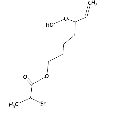 C=CC(CCCCOC(=O)C(C)Br)OO